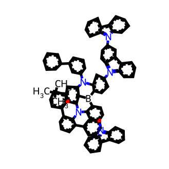 CC(C)(C)c1cc2c3c(c1)N(c1c(-c4ccccc4)cccc1-c1ccccc1)c1cc(-n4c5ccccc5c5ccccc54)ccc1B3c1ccc(-n3c4ccccc4c4cc(-n5c6ccccc6c6ccccc65)ccc43)cc1N2c1cccc(-c2ccccc2)c1